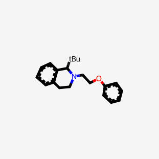 CC(C)(C)C1c2ccccc2CCN1CCOc1ccccc1